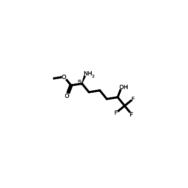 COC(=O)[C@@H](N)CCCC(O)C(F)(F)F